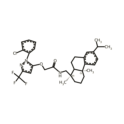 CC(C)c1ccc2c(c1)CCC1[C@](C)(CNC(=O)COc3cc(C(F)(F)F)nn3-c3ccccc3Cl)CCC[C@]21C